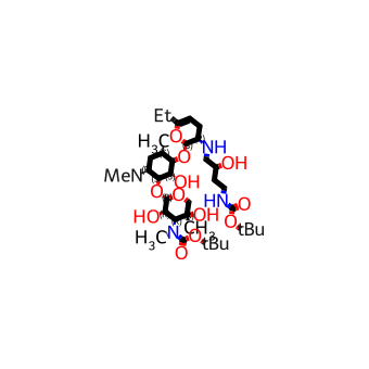 CCC1=CC[C@@H](NCC(O)CCNC(=O)OC(C)(C)C)[C@@H](OC2[C@@H](C)C[C@@H](NC)[C@H](O[C@H]3OC[C@](C)(O)[C@H](N(C)C(=O)OC(C)(C)C)[C@H]3O)[C@H]2O)O1